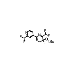 CC(C)(C)OC1(F)CC=C(c2ccnc(C(F)F)c2)N=C1C(F)F